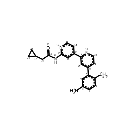 Cc1ccc(N)cc1-c1ccnc(-c2ccnc(NC(=O)CC3CC3)c2)c1